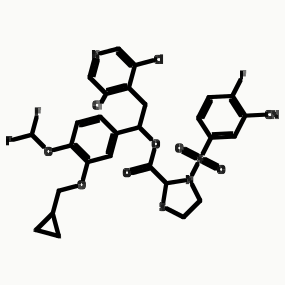 N#Cc1cc(S(=O)(=O)N2CCSC2C(=O)OC(Cc2c(Cl)cncc2Cl)c2ccc(OC(F)F)c(OCC3CC3)c2)ccc1F